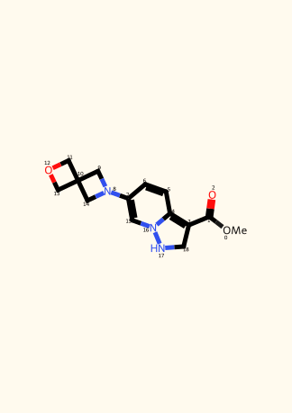 COC(=O)C1=C2C=CC(N3CC4(COC4)C3)=CN2NC1